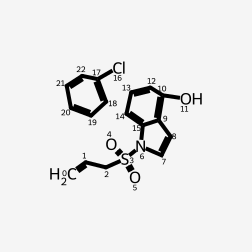 C=CCS(=O)(=O)n1ccc2c(O)cccc21.Clc1ccccc1